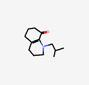 CC(C)CN1CCCC2=C1C(=O)CCC2